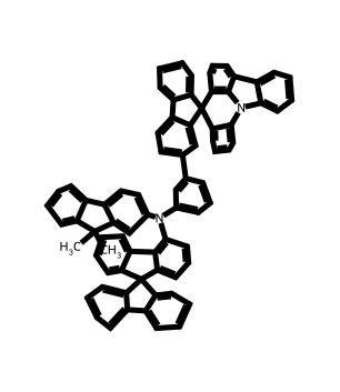 CC1(C)c2ccccc2-c2ccc(N(c3cccc(-c4ccc5c(c4)C4(c6ccccc6-5)c5ccccc5-n5c6ccccc6c6cccc4c65)c3)c3cccc4c3-c3ccccc3C43c4ccccc4-c4ccccc43)cc21